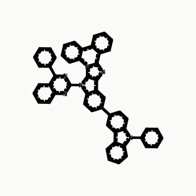 c1ccc(-c2nc(-n3c4ccc(-c5ccc6c(c5)c5ccccc5n6-c5ccccc5)cc4c4nc5c6ccccc6c6ccccc6n5c43)nc3ccccc23)cc1